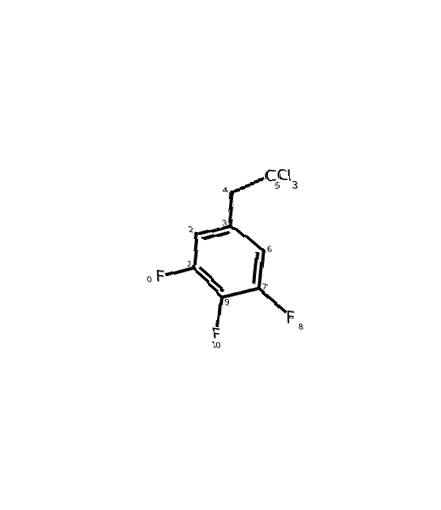 Fc1cc(CC(Cl)(Cl)Cl)cc(F)c1F